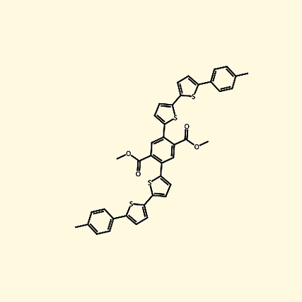 COC(=O)c1cc(-c2ccc(-c3ccc(-c4ccc(C)cc4)s3)s2)c(C(=O)OC)cc1-c1ccc(-c2ccc(-c3ccc(C)cc3)s2)s1